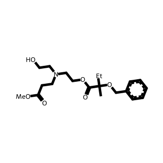 CCC(C)(OCc1ccccc1)C(=O)OCCN(CCO)CCC(=O)OC